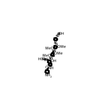 COc1cc(N=Nc2cc(OC)c(N=Nc3c(SOOO)cc4cc(NC(=O)c5ccc(N)cc5)ccc4c3O)cc2OC)c(OC)cc1N=Nc1ccc(SOOO)cc1